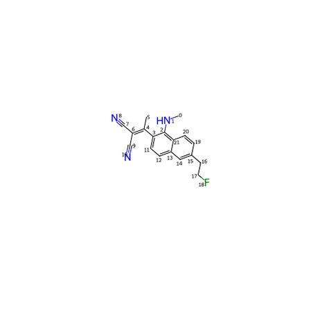 CNc1c(C(C)=C(C#N)C#N)ccc2cc(CCF)ccc12